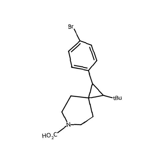 CC(C)(C)C1C(c2ccc(Br)cc2)C12CCN(C(=O)O)CC2